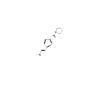 Cl.NC1(C(=O)Nc2ccc(C=CC(=O)O)cc2)CCCC1